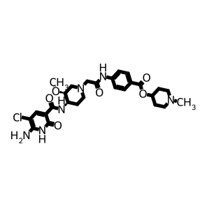 CO[C@H]1CN(CC(=O)Nc2ccc(C(=O)OC3CCN(C)CC3)cc2)CC[C@H]1NC(=O)c1cc(Cl)c(N)[nH]c1=O